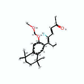 CCC(=C(F)C=CC(C)=O)c1cc2c(cc1OCOC)C(C)(C)CCC2(C)C